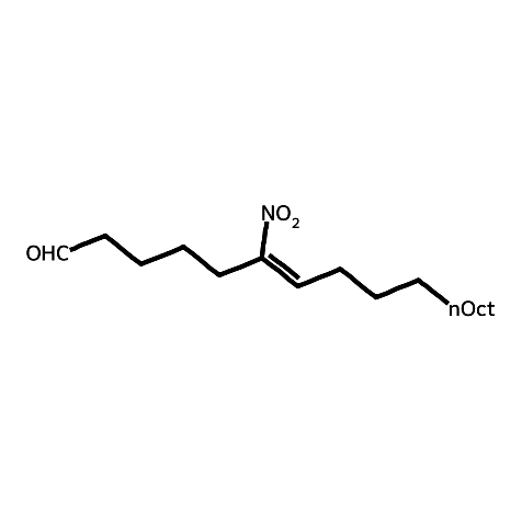 CCCCCCCCCCC/C=C(/CCCCC=O)[N+](=O)[O-]